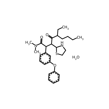 CCCCC(CC)C(=O)C(C1NCCS1)C(C(=O)N(C)C)c1cccc(Oc2ccccc2)c1.O